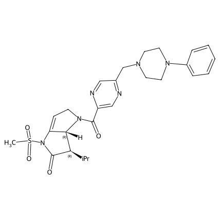 CC(C)[C@H]1C(=O)N(S(C)(=O)=O)C2=CCN(C(=O)c3cnc(CN4CCN(c5ccccc5)CC4)cn3)[C@@H]21